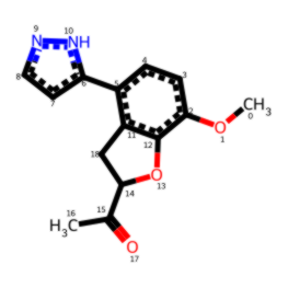 COc1ccc(-c2ccn[nH]2)c2c1OC(C(C)=O)C2